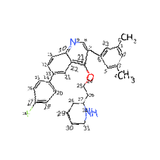 Cc1cc(C)cc(-c2cnc3ccc(-c4ccc(F)cc4)cc3c2OCCC2CCCCN2)c1